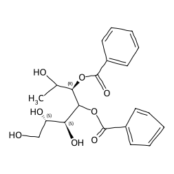 CC(O)[C@@H](OC(=O)c1ccccc1)C(OC(=O)c1ccccc1)[C@@H](O)[C@@H](O)CO